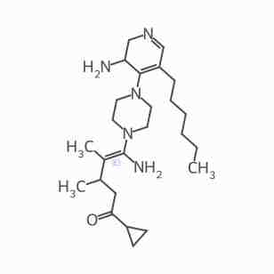 CCCCCCC1=C(N2CCN(/C(N)=C(\C)C(C)CC(=O)C3CC3)CC2)C(N)CN=C1